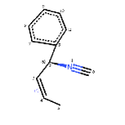 C#[N+][C@@H](/C=C\C)c1ccccc1